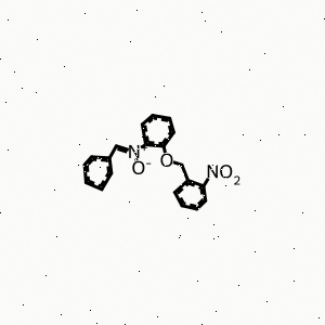 O=[N+]([O-])c1ccccc1COc1ccccc1[N+]([O-])=Cc1ccccc1